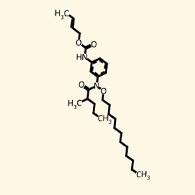 CC=CCOC(=O)Nc1cccc(N(OCCCCCCCCCCCC)C(=O)C(C)CCC)c1